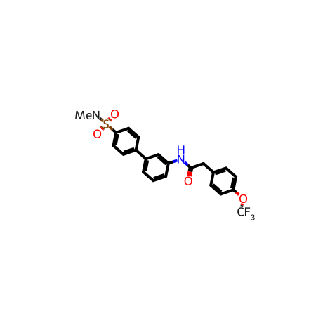 CNS(=O)(=O)c1ccc(-c2cccc(NC(=O)Cc3ccc(OC(F)(F)F)cc3)c2)cc1